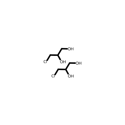 OCC(O)CCl.OCC(O)CCl